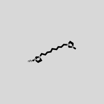 [CH2]CC[n+]1ccn(CCCCCCCCC[n+]2ccn(C)c2)c1